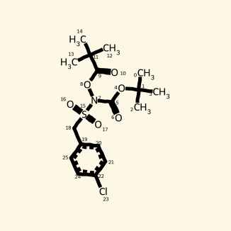 CC(C)(C)OC(=O)N(OC(=O)C(C)(C)C)S(=O)(=O)Cc1ccc(Cl)cc1